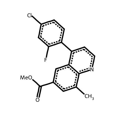 COC(=O)c1cc(C)c2nccc(-c3ccc(Cl)cc3F)c2c1